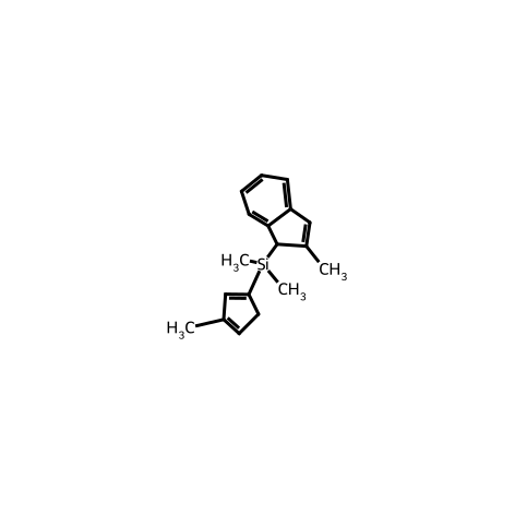 CC1=CCC([Si](C)(C)C2C(C)=Cc3ccccc32)=C1